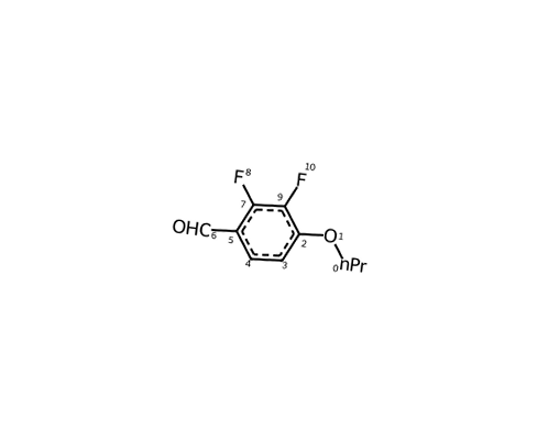 CCCOc1ccc(C=O)c(F)c1F